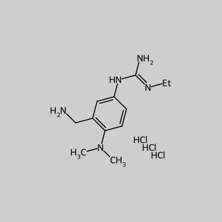 CCN=C(N)Nc1ccc(N(C)C)c(CN)c1.Cl.Cl.Cl